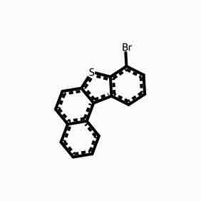 Brc1cccc2c1sc1ccc3ccccc3c12